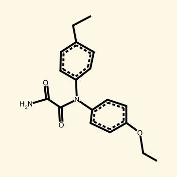 CCOc1ccc(N(C(=O)C(N)=O)c2ccc(CC)cc2)cc1